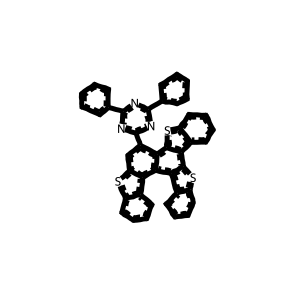 c1ccc(-c2nc(-c3ccccc3)nc(-c3cc4sc5ccccc5c4c4c3c3sc5ccccc5c3c3sc5ccccc5c34)n2)cc1